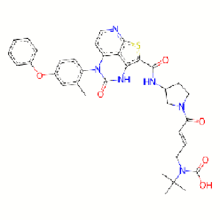 Cc1cc(Oc2ccccc2)ccc1N1C(=O)Nc2c(C(=O)NC3CCN(C(=O)C=CCN(C(=O)O)C(C)(C)C)C3)sc3nccc1c23